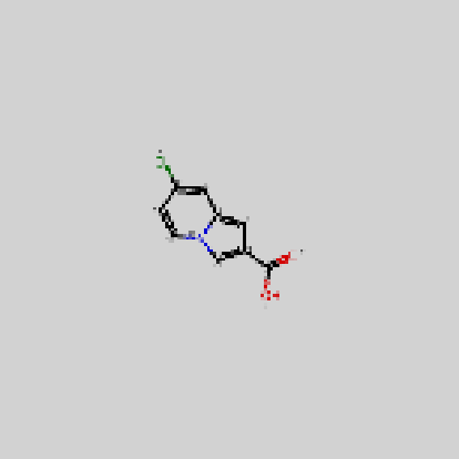 O=C(O)c1cc2cc(Cl)ccn2c1